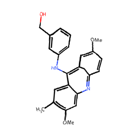 COc1ccc2nc3cc(OC)c(C)cc3c(Nc3cccc(CO)c3)c2c1